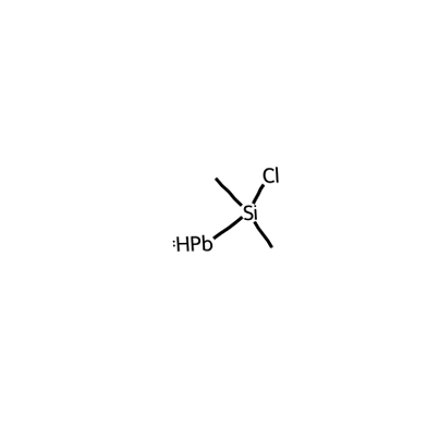 C[Si](C)(Cl)[PbH]